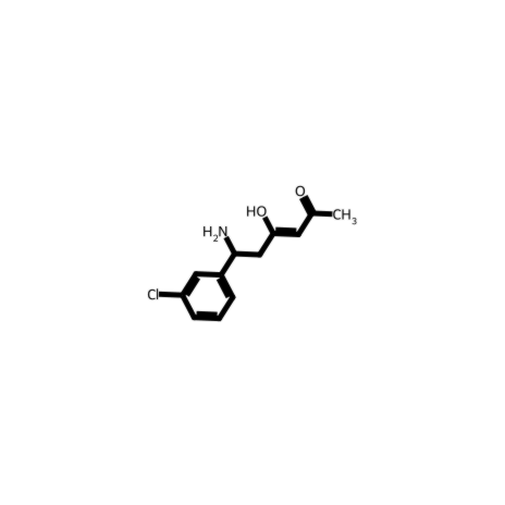 CC(=O)C=C(O)CC(N)c1cccc(Cl)c1